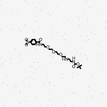 CC(C)(C)OC(=O)NCCNCCOCCOCCOCCNC(=O)c1ccc([N+](=O)[O-])cc1